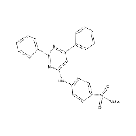 CNS(=O)(=O)c1ccc(Nc2cc(-c3ccccc3)nc(-c3ccccc3)n2)cc1